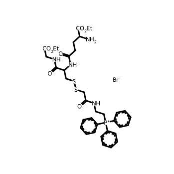 CCOC(=O)CNC(=O)C(CSSCC(=O)NCC[P+](c1ccccc1)(c1ccccc1)c1ccccc1)NC(=O)CCC(N)C(=O)OCC.[Br-]